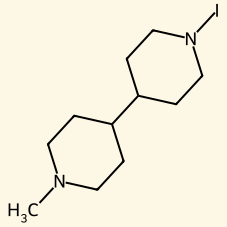 CN1CCC(C2CCN(I)CC2)CC1